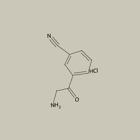 Cl.N#Cc1cccc(C(=O)CN)c1